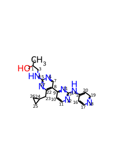 CC(O)CNc1ncc(-c2ccnc(Nc3ccncc3)n2)c(CC2CC2)n1